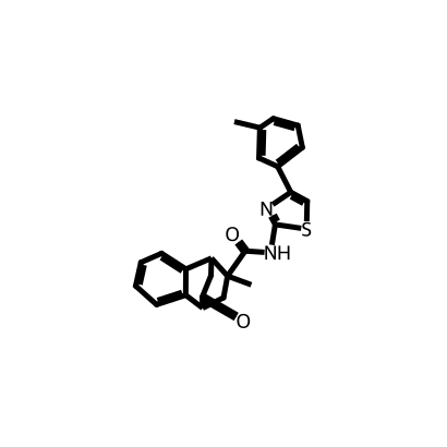 Cc1cccc(-c2csc(NC(=O)C3(C)CC4C(=O)CC3c3ccccc34)n2)c1